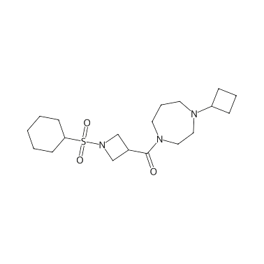 O=C(C1CN(S(=O)(=O)C2CCCCC2)C1)N1CCCN(C2CCC2)CC1